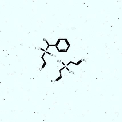 C=CC[N+](C)(C)C(CC)c1ccccc1.C=CC[N+](C)(C)CC=C